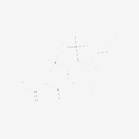 CCOP(=O)(OCC)C(N(OC(C)CC(=O)O)C(C)(C)C)C(C)(C)C